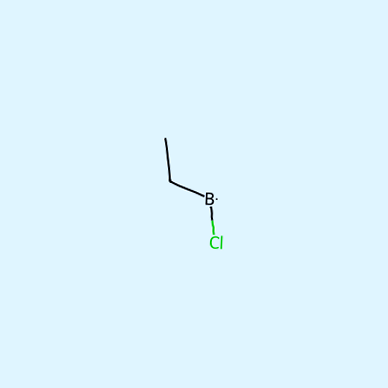 CC[B]Cl